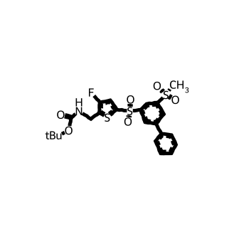 CC(C)(C)OC(=O)NCc1sc(S(=O)(=O)c2cc(-c3ccccc3)cc(S(C)(=O)=O)c2)cc1F